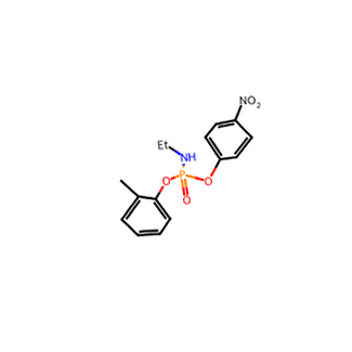 CCN[P@@](=O)(Oc1ccc([N+](=O)[O-])cc1)Oc1ccccc1C